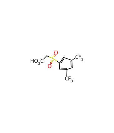 O=C(O)CS(=O)(=O)c1cc(C(F)(F)F)cc(C(F)(F)F)c1